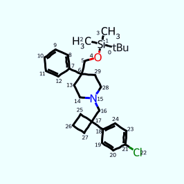 CC(C)(C)[Si](C)(C)OCC1(c2ccccc2)CCN(CC2(c3ccc(Cl)cc3)CCC2)CC1